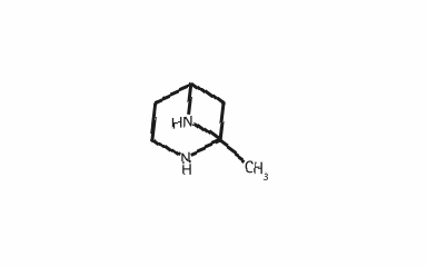 CC12CC(CCN1)N2